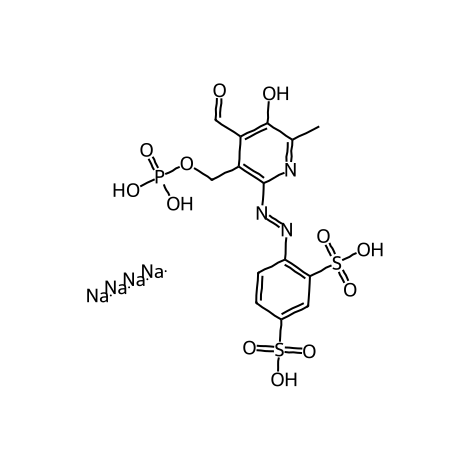 Cc1nc(N=Nc2ccc(S(=O)(=O)O)cc2S(=O)(=O)O)c(COP(=O)(O)O)c(C=O)c1O.[Na].[Na].[Na].[Na]